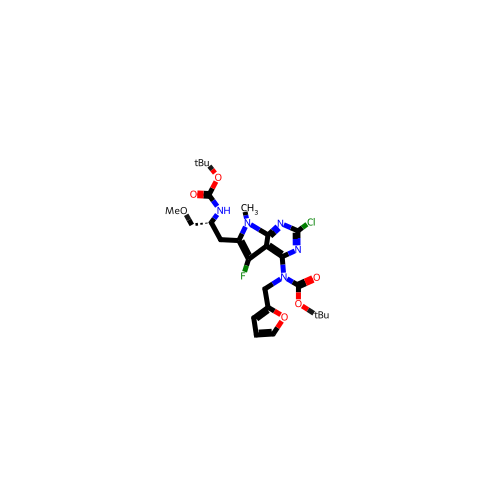 COC[C@@H](Cc1c(F)c2c(N(Cc3ccco3)C(=O)OC(C)(C)C)nc(Cl)nc2n1C)NC(=O)OC(C)(C)C